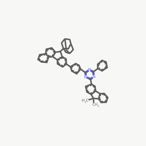 CC1(C)c2ccccc2-c2cc(-c3nc(-c4ccccc4)nc(-c4ccc(-c5ccc6c(c5)C(C57CC8CC(CC(C8)C5)C7)c5ccc7ccccc7c5-6)cc4)n3)ccc21